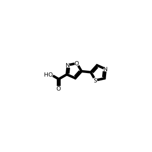 O=C(O)c1cc(-c2cncs2)on1